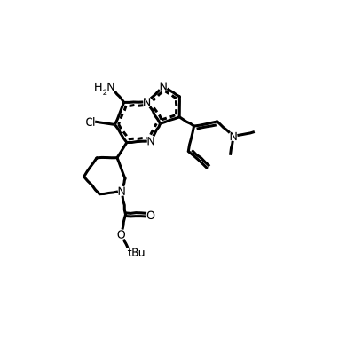 C=C/C(=C\N(C)C)c1cnn2c(N)c(Cl)c(C3CCCN(C(=O)OC(C)(C)C)C3)nc12